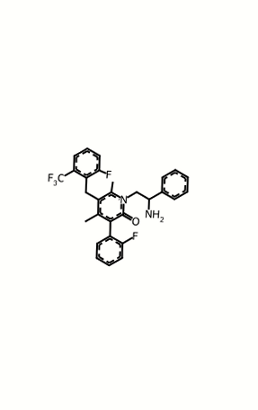 Cc1c(Cc2c(F)cccc2C(F)(F)F)c(C)n(CC(N)c2ccccc2)c(=O)c1-c1ccccc1F